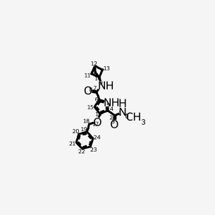 CNC(=O)c1[nH]c(C(=O)NC23CC(C2)C3)cc1OCc1ccccc1